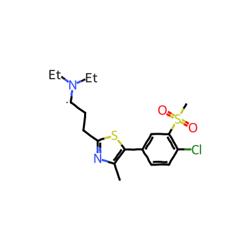 CCN([CH]CCc1nc(C)c(-c2ccc(Cl)c(S(C)(=O)=O)c2)s1)CC